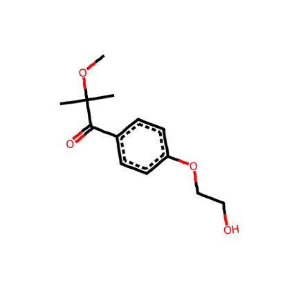 COC(C)(C)C(=O)c1ccc(OCCO)cc1